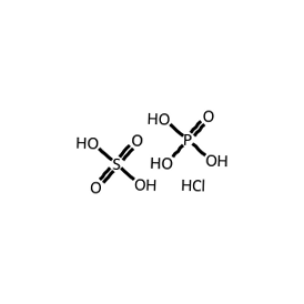 Cl.O=P(O)(O)O.O=S(=O)(O)O